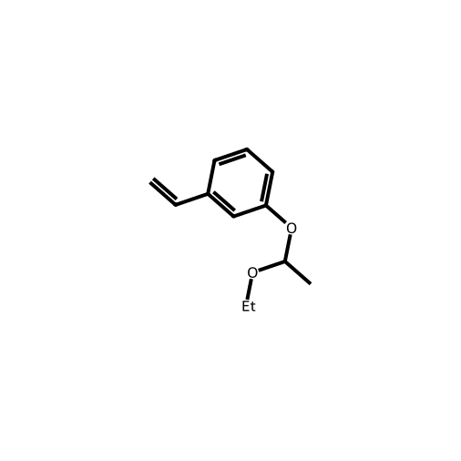 C=Cc1cccc(OC(C)OCC)c1